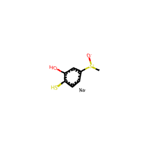 C[S+]([O-])c1ccc(S)c(O)c1.[Na]